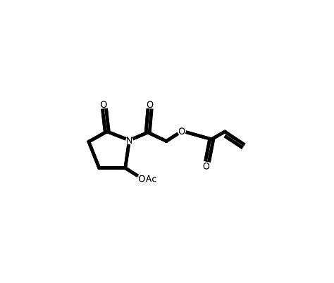 C=CC(=O)OCC(=O)N1C(=O)CCC1OC(C)=O